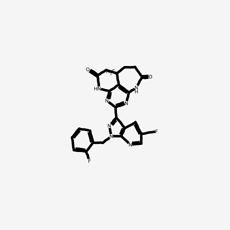 CC12CCC(=O)Nc3nc(-c4nn(Cc5ccccc5F)c5ncc(F)cc45)nc(c31)NC(=O)C2